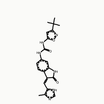 Cc1nc[nH]c1C=C1C(=O)Nc2cc(NC(=O)Nc3cc(C(C)(C)C)no3)ccc21